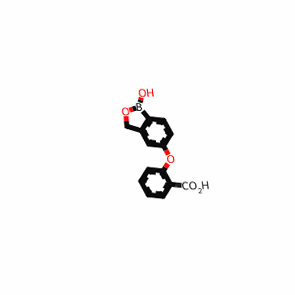 O=C(O)c1ccccc1Oc1ccc2c(c1)COB2O